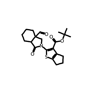 CC(C)(C)OC(=O)c1c(N2CC3(C=O)CCCCC3C2=O)sc2c1CCC2